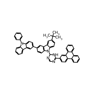 CC(C)(C)c1ccc2c(c1)c1cc(-c3ccc4c(c3)c3ccccc3n4-c3ccccc3)ccc1n2C1N=CN=C(c2ccc3c4ccccc4c4ccccc4c3c2)N1